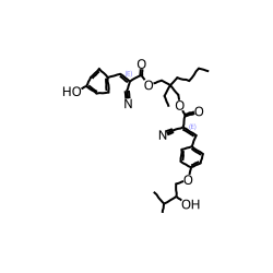 CCCCC(CC)(COC(=O)/C(C#N)=C/c1ccc(O)cc1)COC(=O)/C(C#N)=C/c1ccc(OCC(O)C(C)C)cc1